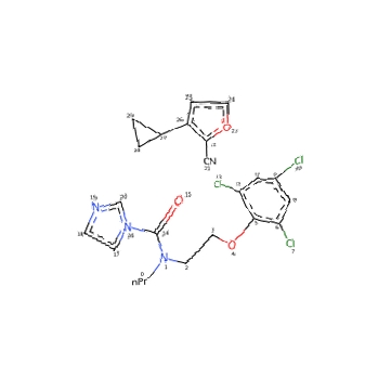 CCCN(CCOc1c(Cl)cc(Cl)cc1Cl)C(=O)n1ccnc1.N#Cc1occc1C1CC1